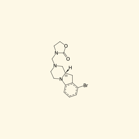 O=C1OCCN1CN1CCN2c3cccc(Br)c3C[C@H]2C1